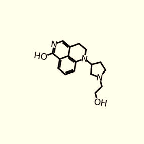 OCCN1CCC(N2CCc3cnc(O)c4cccc2c34)C1